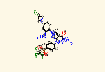 N=C1C[C@H](N2CC(F)C2)CC[C@@H]1n1cc(C(N)=O)c(Nc2ccc(S(=O)(=O)C(F)(F)F)cc2)n1